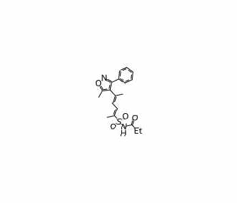 CCC(=O)NS(=O)(=O)/C(C)=C/C=C(\C)c1c(-c2ccccc2)noc1C